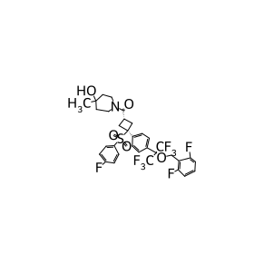 CC1(O)CCN(C(=O)[C@H]2C[C@](c3ccc(C(OCc4c(F)cccc4F)(C(F)(F)F)C(F)(F)F)cc3)(S(=O)(=O)c3ccc(F)cc3)C2)CC1